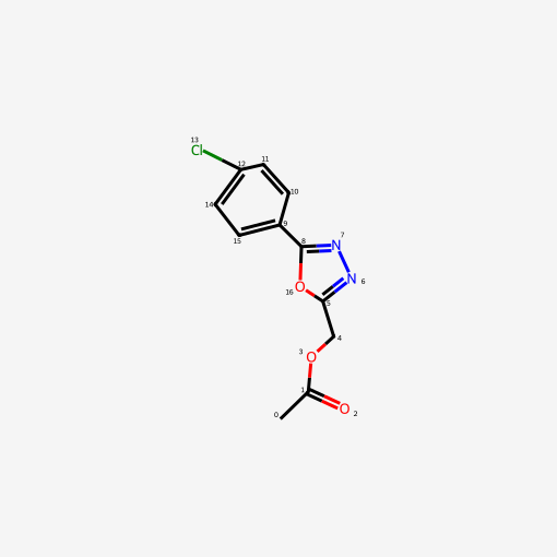 CC(=O)OCc1nnc(-c2ccc(Cl)cc2)o1